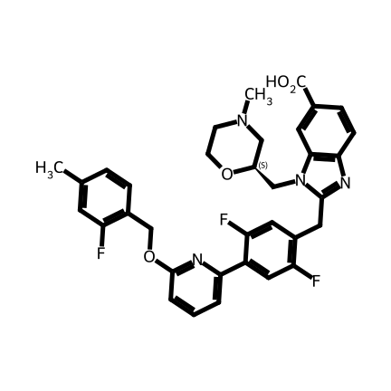 Cc1ccc(COc2cccc(-c3cc(F)c(Cc4nc5ccc(C(=O)O)cc5n4C[C@@H]4CN(C)CCO4)cc3F)n2)c(F)c1